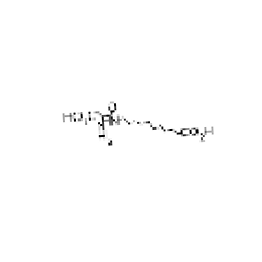 NC(CC(=O)O)C(=O)NCCCCCCCCCCC(=O)O